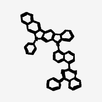 c1ccc(-c2nc(-c3cccc4c(-n5c6ccccc6c6cc7c8cc9ccccc9cc8n(-c8ccccc8)c7cc65)cccc34)nc3ccccc23)cc1